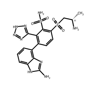 C[C@H](N)CS(=O)(=O)c1ccc(-c2cccc3[nH]c(N)nc23)c(-c2nn[nH]n2)c1S(N)(=O)=O